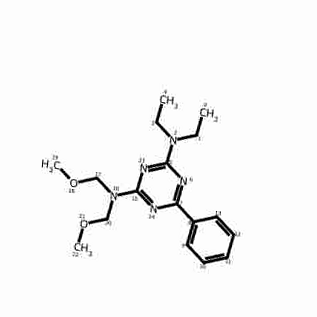 CCN(CC)c1nc(-c2ccccc2)nc(N(COC)COC)n1